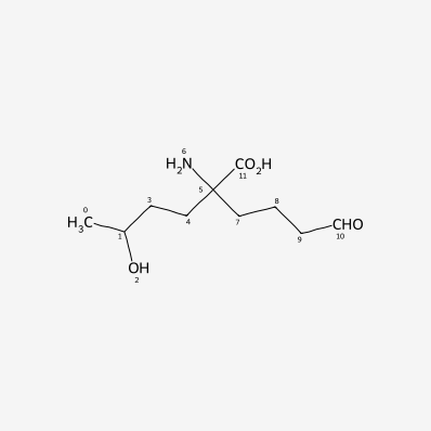 CC(O)CCC(N)(CCCC=O)C(=O)O